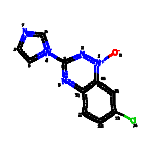 [O-][n+]1nc(-n2ccnc2)nc2ccc(Cl)cc21